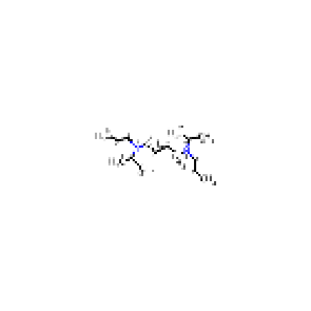 CCCN([SiH2]CC[SiH2]N(CCC)C(C)C)C(C)C